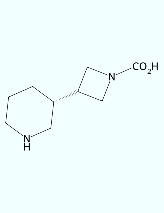 O=C(O)N1CC([C@H]2CCCNC2)C1